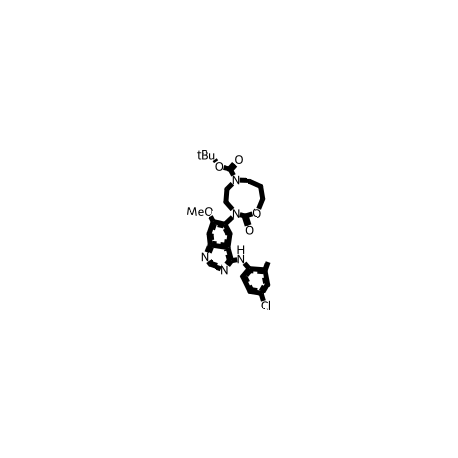 COc1cc2ncnc(Nc3ccc(Cl)cc3C)c2cc1N1CCN(C(=O)OC(C)(C)C)CCCOC1=O